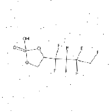 O=P1(O)OCC(C(F)(F)C(F)(F)C(F)(F)CF)O1